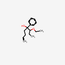 C=CCCC(O)(c1ccccc1)C(CC)OCC